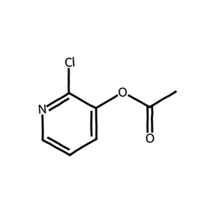 CC(=O)Oc1cccnc1Cl